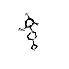 COc1cc(C(C)C)cc(F)c1N1CCN(C2COC2)CC1